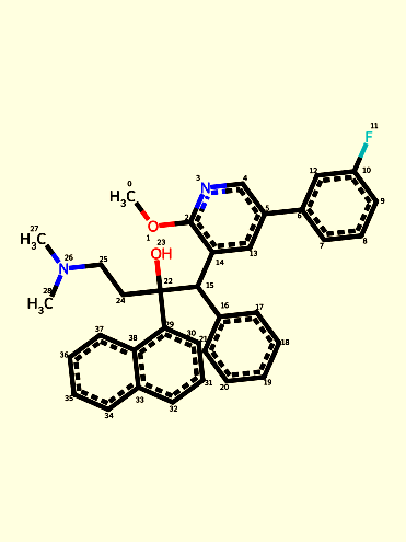 COc1ncc(-c2cccc(F)c2)cc1C(c1ccccc1)C(O)(CCN(C)C)c1cccc2ccccc12